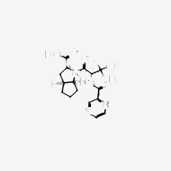 CC(C)(C)[C@H](NC(=O)c1cnccn1)C(=O)N1[C@H](C(=O)O)C[C@@H]2CCC[C@@H]21